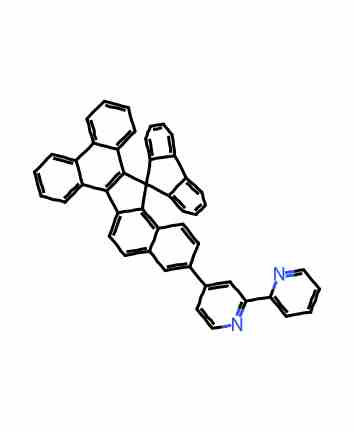 c1ccc(-c2cc(-c3ccc4c5c(ccc4c3)-c3c(c4ccccc4c4ccccc34)C53c4ccccc4-c4ccccc43)ccn2)nc1